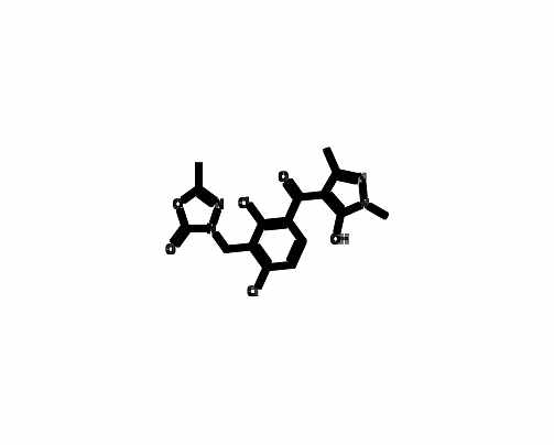 Cc1nn(Cc2c(Cl)ccc(C(=O)c3c(C)nn(C)c3O)c2Cl)c(=O)o1